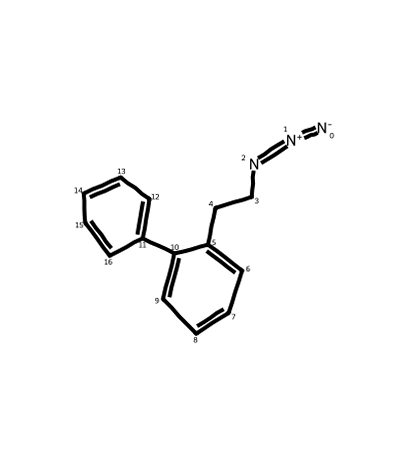 [N-]=[N+]=NCCc1ccccc1-c1ccccc1